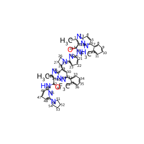 Cc1nc2ccc(-c3ccccc3C(F)(F)F)nn2c1C(=O)Nc1cccc(N2CCC2c2cc(-c3ccccc3C(F)(F)F)nn3c(C(=O)Nc4cccc(N5CCCC5)n4)c(C)nc23)n1